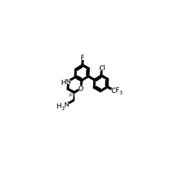 NC[C@H]1CNc2cc(F)cc(-c3ccc(C(F)(F)F)cc3Cl)c2O1